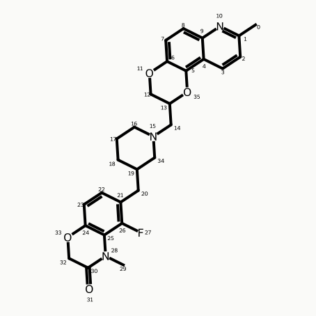 Cc1ccc2c3c(ccc2n1)OCC(CN1CCCC(Cc2ccc4c(c2F)N(C)C(=O)CO4)C1)O3